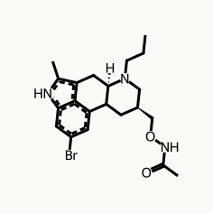 CCCN1C[C@@H](CONC(C)=O)CC2c3cc(Br)cc4[nH]c(C)c(c34)C[C@H]21